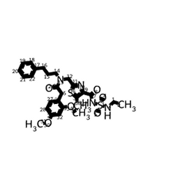 CCNS(=O)(=O)NC(=O)c1nc(CN(CCCc2ccccc2)C(=O)Cc2ccc(OC)cc2OC)sc1C